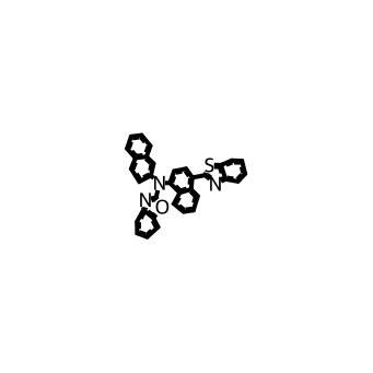 c1ccc2cc(N(c3nc4ccccc4o3)c3ccc(-c4nc5ccccc5s4)c4ccccc34)ccc2c1